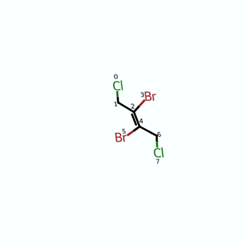 ClCC(Br)=C(Br)CCl